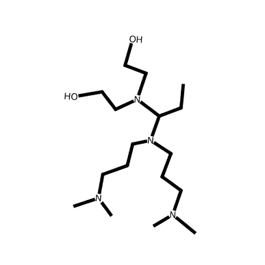 CCC(N(CCO)CCO)N(CCCN(C)C)CCCN(C)C